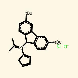 C[C](C)=[Zr+2]([C]1=CC=CC1)[CH]1c2ccc(C(C)(C)C)cc2-c2cc(C(C)(C)C)ccc21.[Cl-].[Cl-]